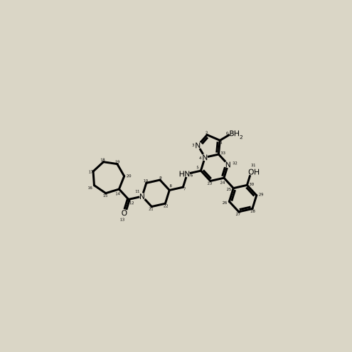 Bc1cnn2c(NCC3CCN(C(=O)C4CCCCCC4)CC3)cc(-c3ccccc3O)nc12